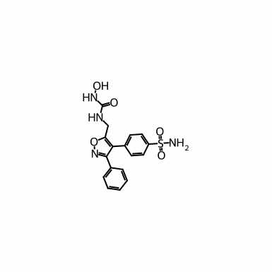 NS(=O)(=O)c1ccc(-c2c(-c3ccccc3)noc2CNC(=O)NO)cc1